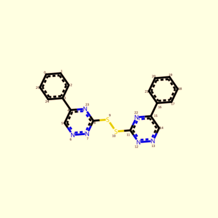 c1ccc(-c2cnnc(SSc3nncc(-c4ccccc4)n3)n2)cc1